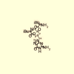 CC[C@H](C)[C@H](N)C(=O)OCCC(COC(=O)[C@@H](N)[C@@H](C)CC)Cn1cnc2c(=O)[nH]c(N)nc21